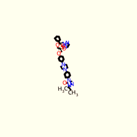 CCC(C)n1ncn(-c2ccc(N3CCN(c4ccc(OC[C@H]5CO[C@](Cn6nccn6)(c6ccccc6)S5(=O)=O)cc4)CC3)cc2)c1=O